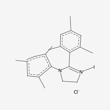 Cc1cc(C)c(C2=[N+](I)CCN2c2c(C)cc(C)cc2C)c(C)c1.[Cl-]